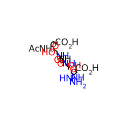 CC(=O)N[C@@H]1CC=C(C(=O)O)O[C@H]1[C@H](O)CCNC(=O)BC(=O)NC[C@@H](O)C[C@H]1C[C@@H](NC(=N)N)C=C(C(=O)O)O1